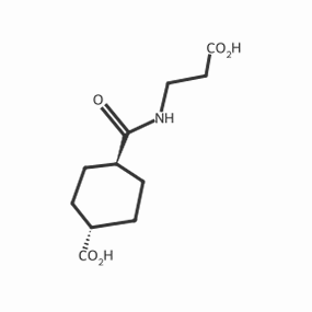 O=C(O)CCNC(=O)[C@H]1CC[C@H](C(=O)O)CC1